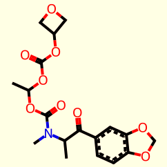 CC(OC(=O)OC1COC1)OC(=O)N(C)C(C)C(=O)c1ccc2c(c1)OCO2